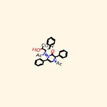 CC(=O)N1C=C(c2ccccc2)N(N(C(C)=O)[C@@H](Cc2ccccc2)C(O)C(=O)O)C(=O)C1c1ccccc1